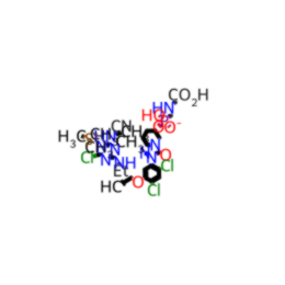 C#CCOc1cc(-n2nc3n(c2=O)CCCC3)c(Cl)cc1Cl.CCNc1nc(Cl)nc(NC(C)(C)C#N)n1.C[S+](C)C.O=C(O)CNCP(=O)([O-])O